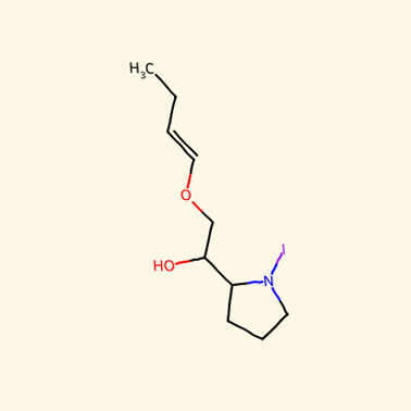 CC/C=C/OCC(O)C1CCCN1I